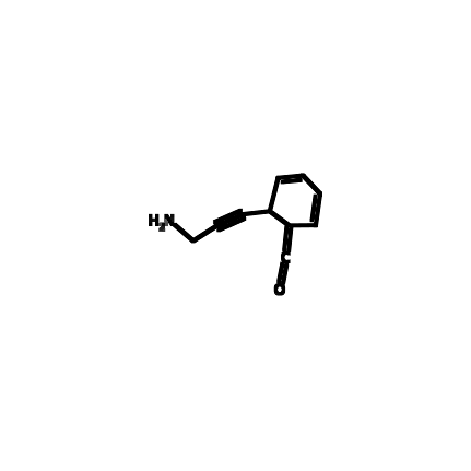 NCC#CC1C=CC=CC1=C=O